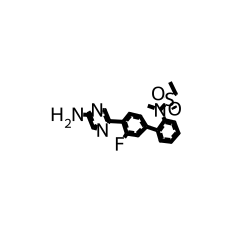 CCS(=O)(=O)N(C)c1ccccc1-c1ccc(-c2cnc(N)cn2)c(F)c1